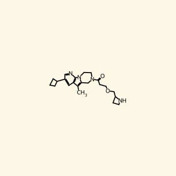 Cc1c2n(c3ncc(C4CCC4)cc13)CCN(C(=O)CCOCC1CCN1)C2